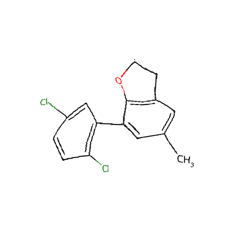 Cc1cc2c(c(-c3cc(Cl)ccc3Cl)c1)O[CH]C2